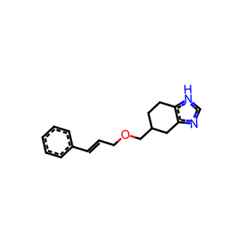 C(=C\c1ccccc1)/COCC1CCc2[nH]cnc2C1